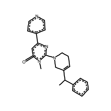 CC(C1=CCCN(c2nc(-c3ccncc3)cc(=O)n2C)C1)c1ccccc1